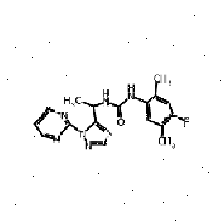 Cc1cc(NC(=O)NC(C)c2ncnn2-c2ncccn2)c(C)cc1F